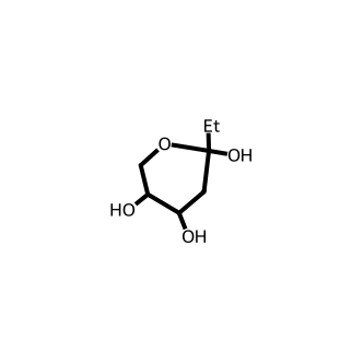 CCC1(O)CC(O)C(O)CO1